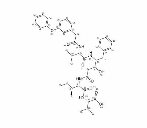 CC[C@H](C)[C@H](NC(=O)CC(O)C(Cc1ccccc1)NC(=O)[C@@H](NC(=O)Cc1cccc(Oc2ccccc2)c1)C(C)C)C(=O)N[C@H](C(=O)O)C(C)C